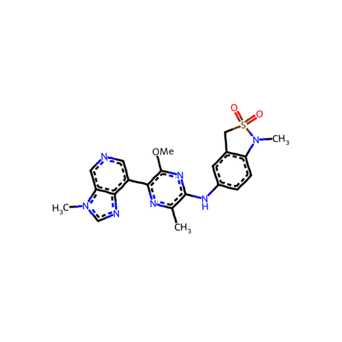 COc1nc(Nc2ccc3c(c2)CS(=O)(=O)N3C)c(C)nc1-c1cncc2c1ncn2C